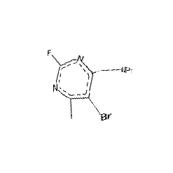 Cc1nc(F)nc(C(C)C)c1Br